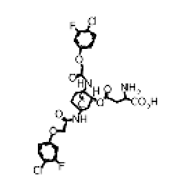 NC(CC(=O)O[C@H]1CC2(NC(=O)COc3ccc(Cl)c(F)c3)CCC1(NC(=O)COc1ccc(Cl)c(F)c1)CC2)C(=O)O